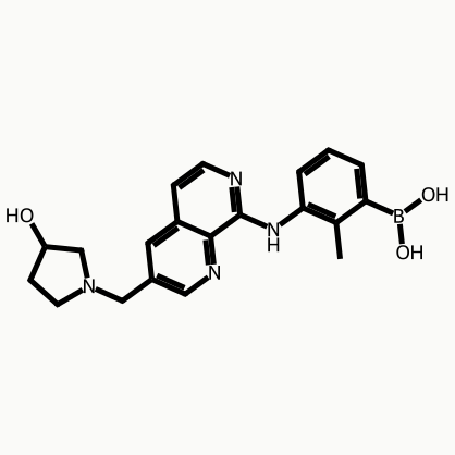 Cc1c(Nc2nccc3cc(CN4CCC(O)C4)cnc23)cccc1B(O)O